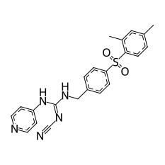 Cc1ccc(S(=O)(=O)c2ccc(CNC(=NC#N)Nc3ccncc3)cc2)c(C)c1